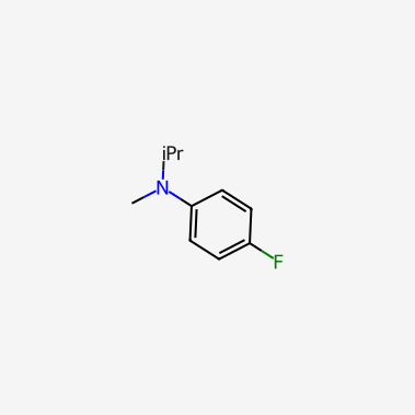 CC(C)N(C)c1ccc(F)cc1